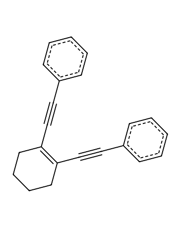 C(#Cc1ccccc1)C1=C(C#Cc2ccccc2)CCCC1